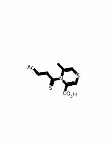 CC(=O)CCC(=S)N1C(C)=CSC=C1C(=O)O